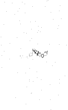 CO[C@H]1CC[C@@H](n2ncc3cnc(Nc4ccc5c(c4)CN(C)CC5)nc32)CC1